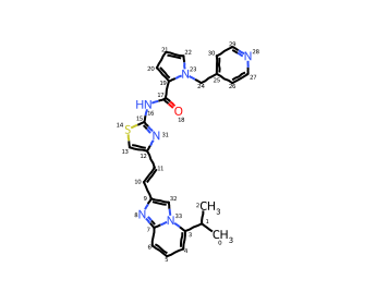 CC(C)c1cccc2nc(/C=C/c3csc(NC(=O)c4cccn4Cc4ccncc4)n3)cn12